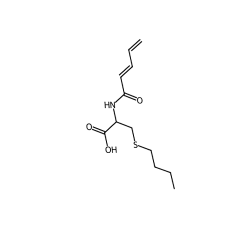 C=C/C=C/C(=O)NC(CSCCCC)C(=O)O